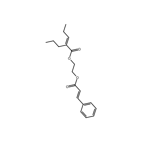 CC/C=C(\CCC)C(=O)OCCOC(=O)C=Cc1ccccc1